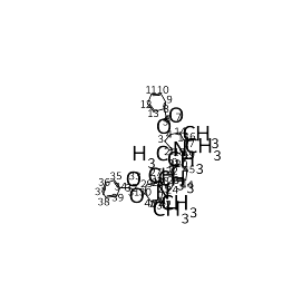 CC1(C)CC(OC(=O)c2ccccc2)CC(C)(C)N1Cc1ccc(CN2C(C)(C)CC(OC(=O)c3ccccc3)CC2(C)C)cc1